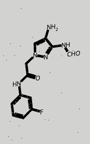 Nc1cn(CC(=O)Nc2cccc(F)c2)nc1NC=O